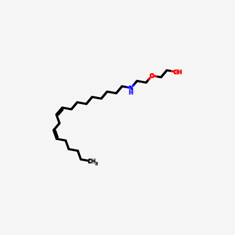 CCCCC/C=C\C/C=C\CCCCCCCCNCCOCCO